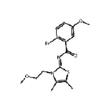 COCCn1c(C)c(C)sc1=NC(=O)c1cc(OC)ccc1Br